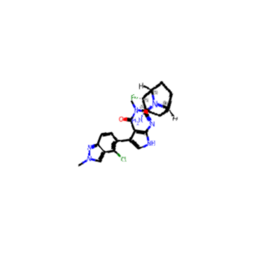 Cn1cc2c(Cl)c(-c3c[nH]c4nc(N5[C@@H]6CC[C@H]5[C@@H](F)[C@@H](N)C6)n(C)c(=O)c34)ccc2n1